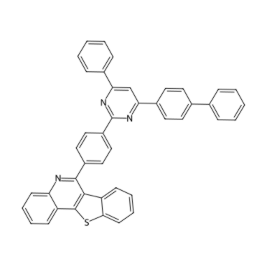 c1ccc(-c2ccc(-c3cc(-c4ccccc4)nc(-c4ccc(-c5nc6ccccc6c6sc7ccccc7c56)cc4)n3)cc2)cc1